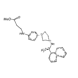 COC(=O)CCNc1ccc([C@@H]2CC[C@H](N[C@H](C)c3cccc4ccccc34)C2)cc1